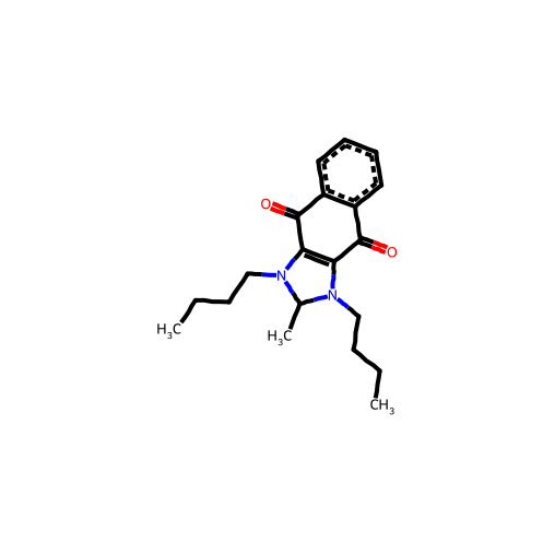 CCCCN1C2=C(C(=O)c3ccccc3C2=O)N(CCCC)C1C